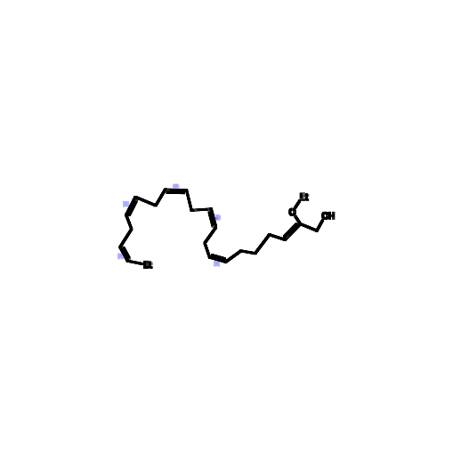 CC/C=C\C/C=C\C/C=C\C/C=C\C/C=C\CCCC=C(CO)OCC